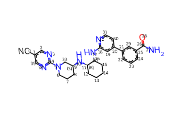 N#Cc1cnc(N2CCC[C@H](N[C@@H]3CCCC[C@H]3Nc3cc(-c4cccc(C(N)=O)c4)ccn3)C2)nc1